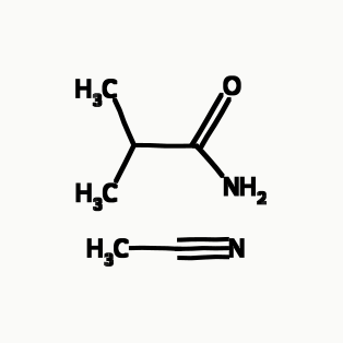 CC#N.CC(C)C(N)=O